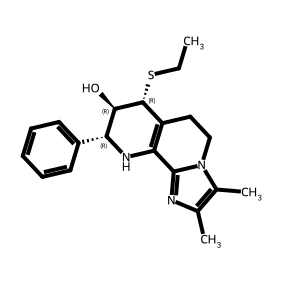 CCS[C@@H]1C2=C(N[C@H](c3ccccc3)[C@H]1O)c1nc(C)c(C)n1CC2